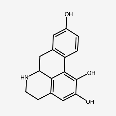 Oc1ccc2c(c1)CC1NCCc3cc(O)c(O)c-2c31